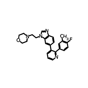 Cc1cc(-c2ncccc2-c2ccc3ncn(CCN4CCOCC4)c3c2)ccc1F